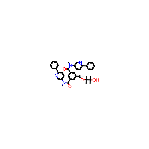 CN(C(=O)c1cc(BOC(C)(C)C(C)(C)O)cc(C(=O)N(C)c2ccc(-c3ccccc3)nc2)c1)c1ccc(-c2ccccc2)nc1